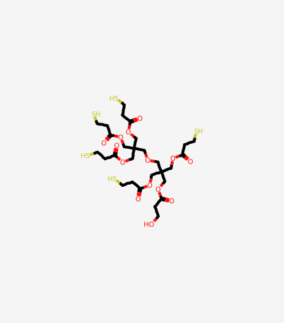 O=C(CCO)OCC(COCC(COC(=O)CCS)(COC(=O)CCS)COC(=O)CCS)(COC(=O)CCS)COC(=O)CCS